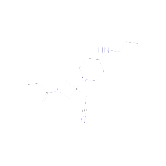 C=C(CC)N1CC(CC#N)(N2CCC(NCCC)CC2)C1